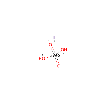 I.[O]=[Mo](=[O])([OH])[OH]